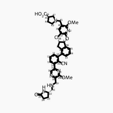 COc1nc(O[C@H]2CCc3c(-c4cccc(-c5cnc(CNC[C@@H]6CCC(=O)N6)c(OC)n5)c4C#N)cccc32)c(Cl)cc1CN1CC[C@@H](C(=O)O)C1